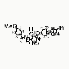 COc1ccc(C(C)=NOc2ncnc(OC3CCN(c4nc(C(C)C)no4)CC3)c2C)cc1